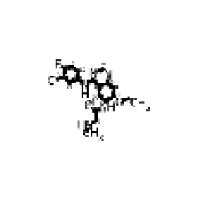 CCOc1cc2ncnc(Nc3ccc(F)c(Cl)c3)c2cc1NC(=O)CNC